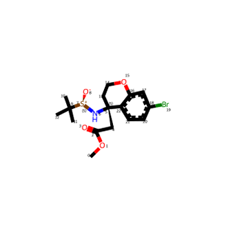 COC(=O)C[C@@]1(N[S@+]([O-])C(C)(C)C)CCOc2cc(Br)ccc21